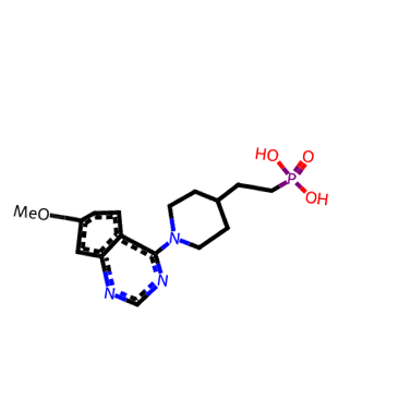 COc1ccc2c(N3CCC(CCP(=O)(O)O)CC3)ncnc2c1